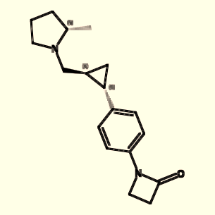 C[C@H]1CCCN1C[C@H]1C[C@@H]1c1ccc(N2CCC2=O)cc1